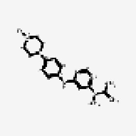 C=C(C)N(C)c1cc(Nc2ccc(N3CCN(CC)CC3)cc2)ncn1